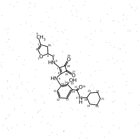 CC1=COC(CNc2c(Nc3cccc(C(=O)NC4CCCCC4)c3O)c(=O)c2=O)C1